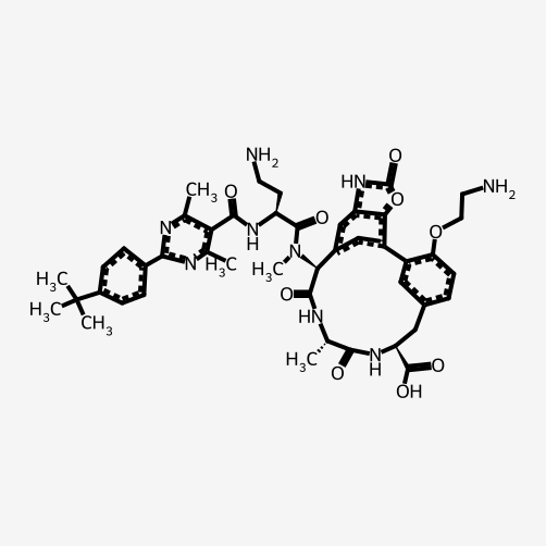 Cc1nc(-c2ccc(C(C)(C)C)cc2)nc(C)c1C(=O)N[C@@H](CCN)C(=O)N(C)[C@@H]1C(=O)N[C@@H](C)C(=O)N[C@H](C(=O)O)Cc2ccc(OCCN)c(c2)-c2cc1cc1[nH]c(=O)oc21